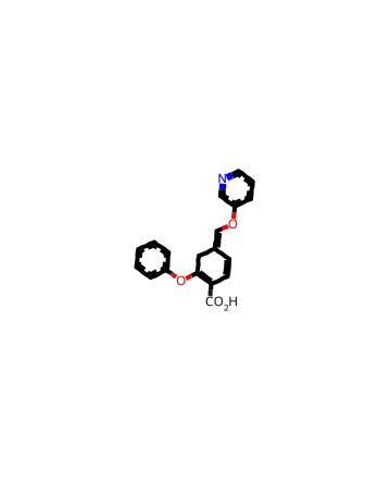 O=C(O)C1=C(Oc2ccccc2)CC(=COc2cccnc2)C=C1